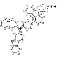 CC1CC2CC(C1)C1(C2)c2ccccc2-c2c(-c3ccc(N(c4ccc5ccccc5c4)c4ccc5c(c4)sc4ccccc45)cc3)cccc21